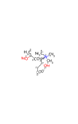 CC(O)C(=O)O.C[N+](C)(C)C[C@H](O)CC(=O)[O-]